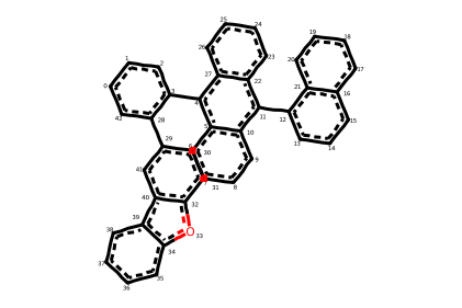 c1ccc(-c2c3ccccc3c(-c3cccc4ccccc34)c3ccccc23)c(-c2ccc3oc4ccccc4c3c2)c1